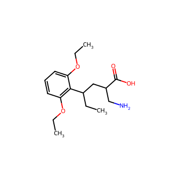 CCOc1cccc(OCC)c1C(CC)CC(CN)C(=O)O